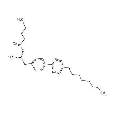 CCCCCCCCc1cnc(-c2ccc(CC(C)OC(=O)CCCC)cc2)nc1